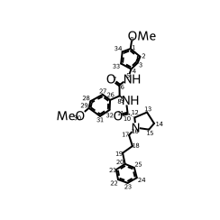 COc1ccc(NC(=O)[C@@H](NC(=O)[C@@H]2CCCN2CCCc2ccccc2)c2ccc(OC)cc2)cc1